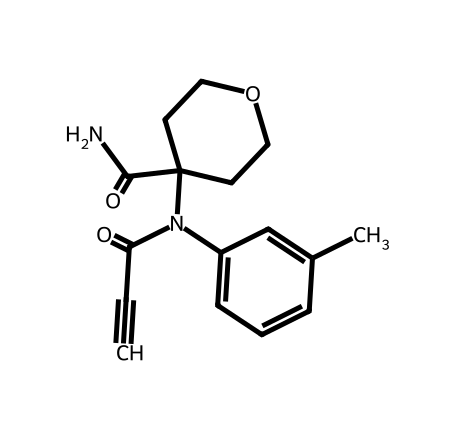 C#CC(=O)N(c1cccc(C)c1)C1(C(N)=O)CCOCC1